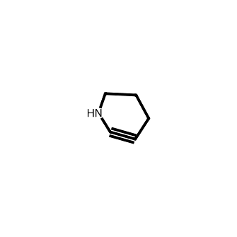 C1#CNCCC1